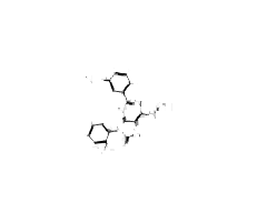 COc1ccccc1-n1c(=O)[nH]c2c(NC=O)nc(-c3cccc(C#N)c3)nc21